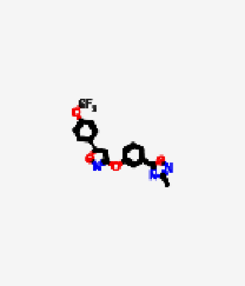 Cc1noc(-c2cccc(OC3=NO[C@@H](c4ccc(OC(F)(F)F)cc4)C3)c2)n1